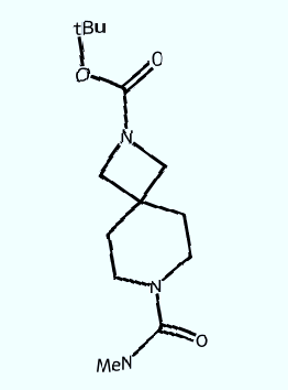 CNC(=O)N1CCC2(CC1)CN(C(=O)OC(C)(C)C)C2